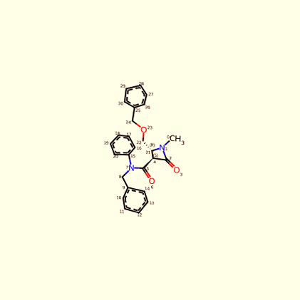 CN1C(=O)[C@@H](C(=O)N(Cc2ccccc2)c2ccccc2)[C@@H]1COCc1ccccc1